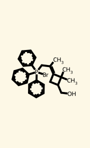 CC(CP(Br)(c1ccccc1)(c1ccccc1)c1ccccc1)=C1CC(CO)C1(C)C